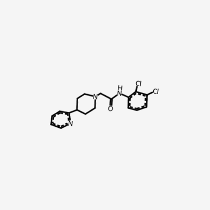 O=C(CN1CCC(c2ccccn2)CC1)Nc1cccc(Cl)c1Cl